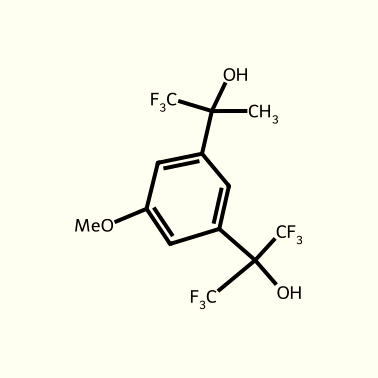 COc1cc(C(C)(O)C(F)(F)F)cc(C(O)(C(F)(F)F)C(F)(F)F)c1